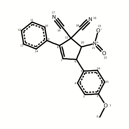 COc1ccc(C2C=C(c3ccccc3)C(C#N)(C#N)C2[N+](=O)[O-])cc1